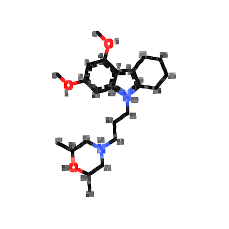 COc1cc(OC)c2c3c(n(CCCN4CC(C)OC(C)C4)c2c1)CCCC3